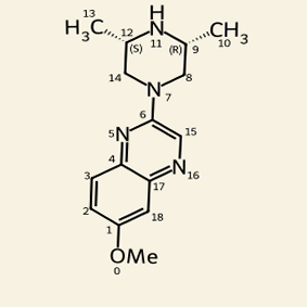 COc1ccc2nc(N3C[C@@H](C)N[C@@H](C)C3)cnc2c1